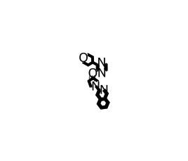 c1ccc2cc(N3CC[C@H](Oc4nccnc4C4CCOCC4)C3)ncc2c1